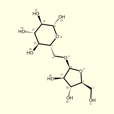 OC[C@@H]1O[C@H](OC[C@H]2O[C@@H](O)[C@H](O)[C@@H](O)[C@@H]2O)[C@H](O)[C@H]1O